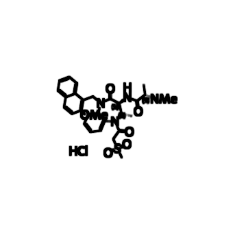 CN[C@@H](C)C(=O)N[C@@H]1C(=O)N(Cc2c(OC)ccc3ccccc23)c2ccccc2N(C(=O)CS(C)(=O)=O)[C@H]1C.Cl